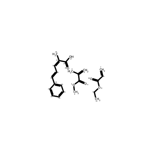 C=C(C)C(=O)OC.C=CC(=O)OCC.CC(=CC=Cc1ccccc1)C(=O)O